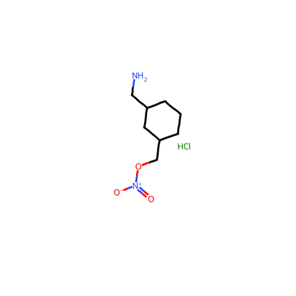 Cl.NCC1CCCC(CO[N+](=O)[O-])C1